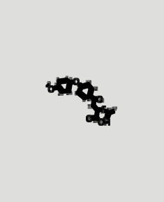 COc1ccc(Oc2ccc(C(=O)CC(SC(C)=O)C(=O)O)cc2)cc1